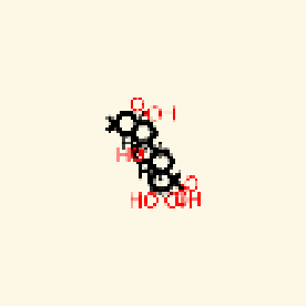 CC1(C)CC[C@]2(C(=O)O)CC[C@]3(CO)C(=CC[C@@H]4[C@@]5(C)C[C@@H](O)[C@H](O)C(C)(C(=O)O)C5CC[C@]43C)[C@H]2C1